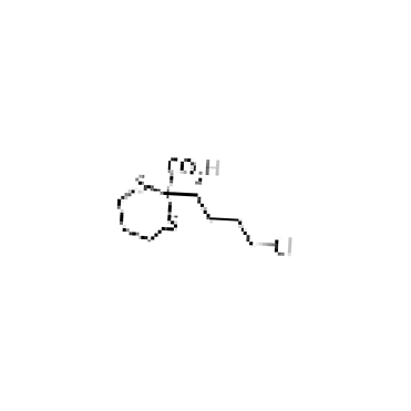 O=C(O)C1(CCCCCl)SCCCS1